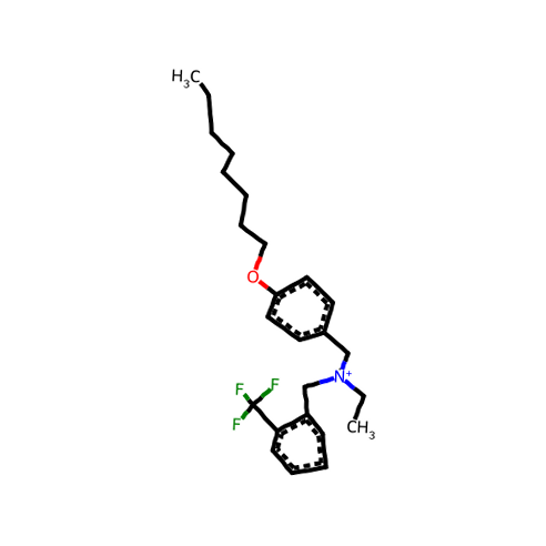 CCCCCCCCOc1ccc(C[N+](CC)Cc2ccccc2C(F)(F)F)cc1